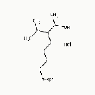 CCCCCCCCCCCC(C(C)O)N(C)C.Cl